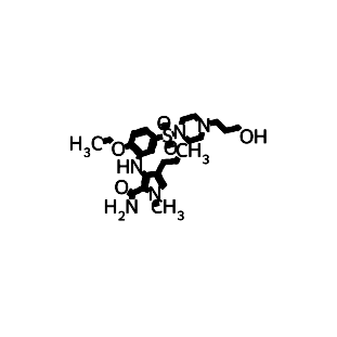 CCCc1cn(C)c(C(N)=O)c1Nc1cc(S(=O)(=O)N2CCN(CCCO)CC2)ccc1OCC